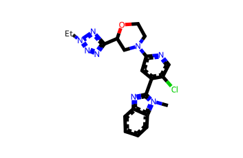 CCn1nnc(C2CN(c3cc(-c4nc5ccccc5n4C)c(Cl)cn3)CCO2)n1